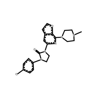 CN1CCN(c2nc(N3CCN(c4ccc(Cl)cc4)C3=O)cc3ccoc23)CC1